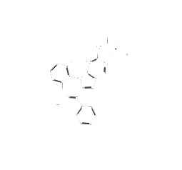 CON=C(c1ccc(F)cc1)c1cc2cnc(NC(C)C(C)(C)O)nc2n1-c1c(F)cccc1F